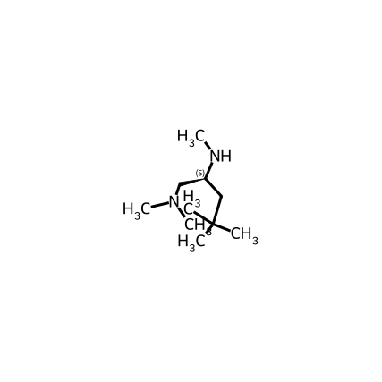 CN[C@H](CN(C)C)CC(C)(C)C